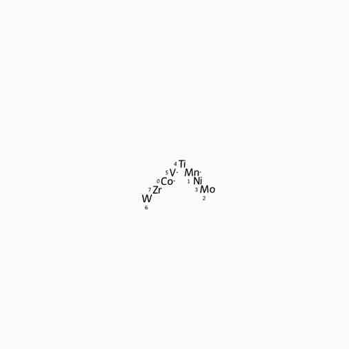 [Co].[Mn].[Mo].[Ni].[Ti].[V].[W].[Zr]